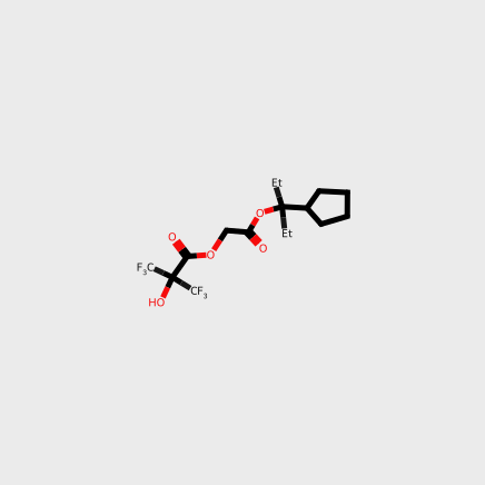 CCC(CC)(OC(=O)COC(=O)C(O)(C(F)(F)F)C(F)(F)F)C1CCCC1